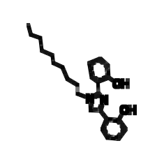 CCCCCCCCCCn1cc(-c2ccccc2O)nc1-c1ccccc1O